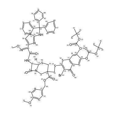 CON=C(C(=O)NC1C(=O)N2CC(CSc3sc4cc(OC(=O)OC(C)(C)C)c(OC(=O)OC(C)(C)C)cc4c(=O)c3Br)(C(=O)OCc3ccc(OC)cc3)CS[C@H]12)c1csc(NC(c2ccccc2)(c2ccccc2)c2ccccc2)n1